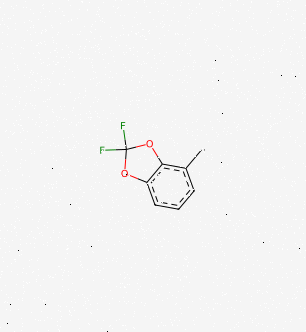 [CH2]c1cccc2c1OC(F)(F)O2